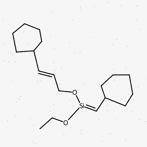 CCO[Si](=CC1CCCCC1)OCC=CC1CCCCC1